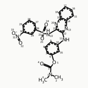 CN(C)C(=O)Oc1cccc(Nc2nc3ccccc3nc2NS(=O)(=O)c2cccc([N+](=O)[O-])c2)c1